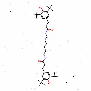 CC(C)(C)c1cc(CCC(=O)[N]CCCCCC[N]C(=O)CCc2cc(C(C)(C)C)c(O)c(C(C)(C)C)c2)cc(C(C)(C)C)c1O